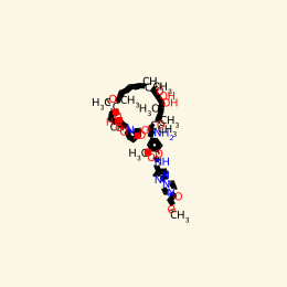 COCCC(=O)N1CCN(c2ncc(CNC(=O)O[C@@H]3CC[C@@H](C[C@@H](N)[C@@H]4C[C@@H](OC)[C@H](C)/C=C(\C)[C@@H](O)[C@@H](O)C(=O)[C@H](C)C[C@H](C)/C=C/C=C/C=C(\C)[C@@H](OC)C[C@@H]5CC[C@@H](C)[C@@](O)(O5)C(=O)C(=O)N5CCCC[C@H]5C(=O)O4)C[C@H]3OC)cn2)CC1